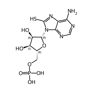 Nc1ncnc2c1nc(S)n2[C@@H]1O[C@H](COP(=O)(O)O)[C@@H](O)[C@H]1O